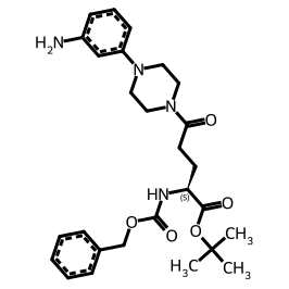 CC(C)(C)OC(=O)[C@H](CCC(=O)N1CCN(c2cccc(N)c2)CC1)NC(=O)OCc1ccccc1